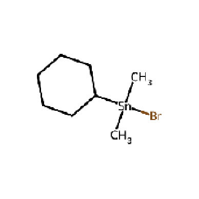 [CH3][Sn]([CH3])([Br])[CH]1CCCCC1